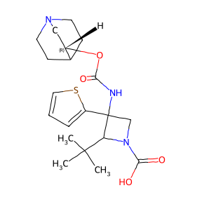 CC(C)(C)C1N(C(=O)O)CC1(NC(=O)O[C@H]1CN2CCC1CC2)c1cccs1